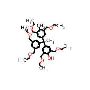 CCOCc1cc(COCC)cc([C@@](C)(c2cc(COCC)c(C)c(COCC)c2)c2cc(COCC)c(O)c(COCC)c2)c1